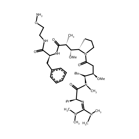 CC[C@H](C)[C@@H]([C@@H](CC(=O)N1CCC[C@H]1[C@H](OC)[C@@H](C)C(=O)N[C@@H](Cc1ccccc1)C(=O)NCCON)OC)N(C)C(=O)[C@@H](N=C(N(C)C)N(C)C)C(C)C